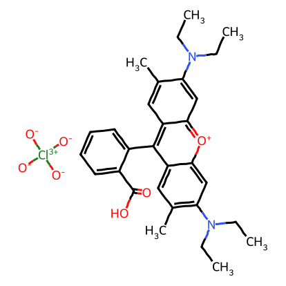 CCN(CC)c1cc2[o+]c3cc(N(CC)CC)c(C)cc3c(-c3ccccc3C(=O)O)c2cc1C.[O-][Cl+3]([O-])([O-])[O-]